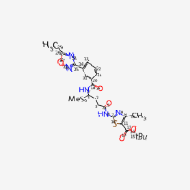 CSC(CCC(=O)Nc1nc(C)c(C(=O)OC(C)(C)C)s1)NC(=O)c1cccc(-c2noc(C)n2)c1